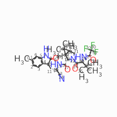 Cc1ccc2c(c1)NC(=O)C2C[C@@H](C#N)NC(=O)[C@@H]1[C@H]2[C@H](CN1C(=O)[C@@H](NC(=O)C(F)(F)F)C(C)(C)C)C2(C)C